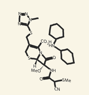 C1CCC(NC2CCCCC2)CC1.CO[C@@]1(NC(=O)C(C#N)SC)C(=O)N2C(C(=O)O)=C(CSc3nnnn3C)CS[C@H]21